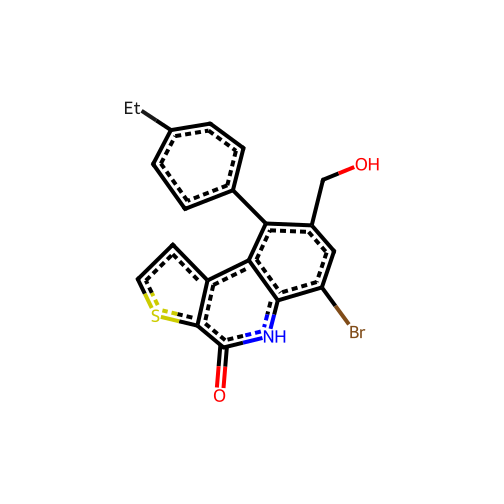 CCc1ccc(-c2c(CO)cc(Br)c3[nH]c(=O)c4sccc4c23)cc1